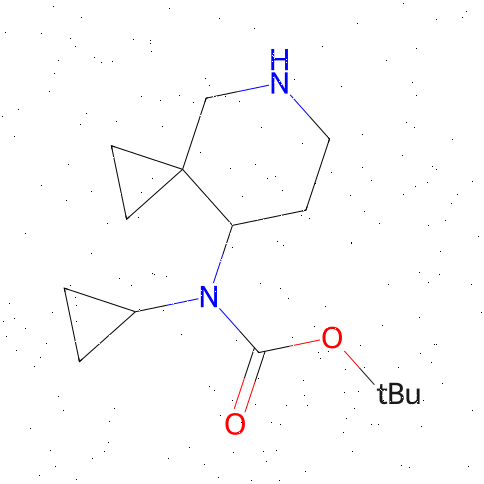 CC(C)(C)OC(=O)N(C1CC1)C1CCNCC12CC2